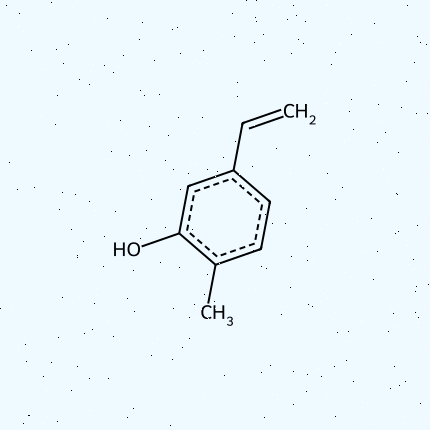 C=Cc1ccc(C)c(O)c1